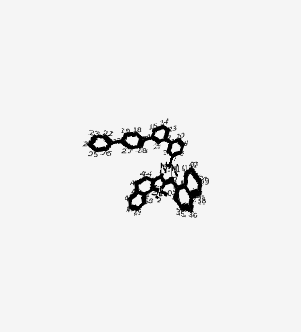 C[Si]1(C)c2c(nc(-c3cccc(-c4cccc(-c5ccc(-c6ccccc6)cc5)c4)c3)nc2-c2cccc3ccccc23)-c2ccc3ccccc3c21